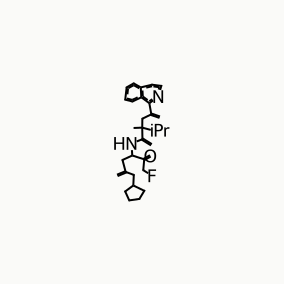 C=C(CC1CCCC1)CC(NC(=C)C(C)(CC(=C)c1nccc2ccccc12)C(C)C)C(=O)CF